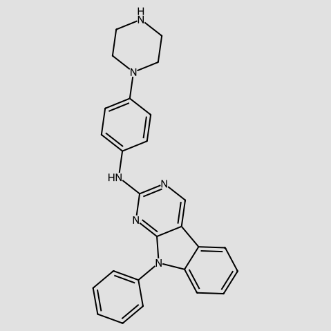 c1ccc(-n2c3ccccc3c3cnc(Nc4ccc(N5CCNCC5)cc4)nc32)cc1